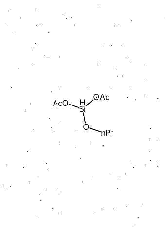 CCCO[SiH](OC(C)=O)OC(C)=O